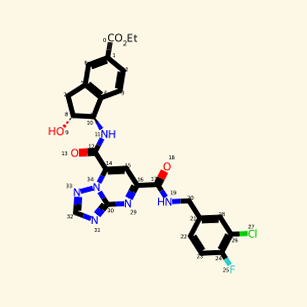 CCOC(=O)c1ccc2c(c1)C[C@@H](O)[C@@H]2NC(=O)c1cc(C(=O)NCc2ccc(F)c(Cl)c2)nc2ncnn12